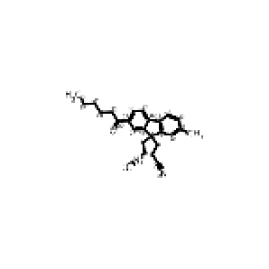 [C-]#[N+]CCC1(CCC#N)c2cc(C)ccc2-c2ccc(C(=O)CCCCC)cc21